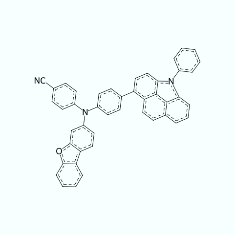 N#Cc1ccc(N(c2ccc(-c3ccc4c5c3ccc3cccc(c35)n4-c3ccccc3)cc2)c2ccc3c(c2)oc2ccccc23)cc1